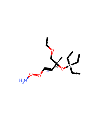 CCOC[C@@](C)(/C=C/OON)O[Si](CC)(CC)CC